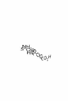 CC(NC(=O)c1ccc(C(N)=S)cc1)C(=O)c1ccc(OCC(=O)O)cc1